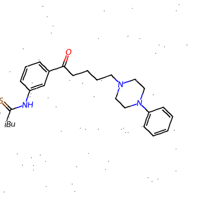 CCC(C)C(=S)Nc1cccc(C(=O)CCCCN2CCN(c3ccccc3)CC2)c1